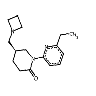 CCc1cccc(N2C[C@H](CN3CCC3)CCC2=O)n1